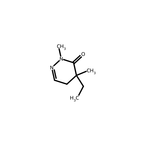 CCC1(C)CC=NN(C)C1=O